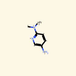 CCCN(C)c1ccc(N)cn1